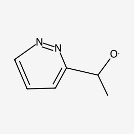 CC([O])c1cccnn1